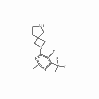 Cc1nc(N2CC3(CCNC3)C2)c(F)c(C(F)(F)F)n1